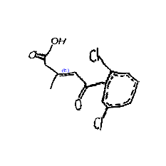 C/C(=C\C(=O)c1c(Cl)cccc1Cl)C(=O)O